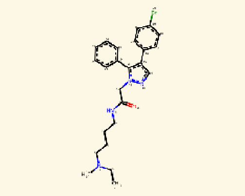 CCN(C)CCCCNC(=O)Cn1ncc(-c2ccc(Br)cc2)c1-c1ccccc1